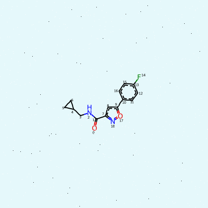 O=C(NCC1CC1)c1cc(-c2ccc(F)cc2)on1